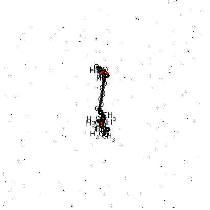 Cc1cc(Nc2ncc(Cl)c(Nc3ccccc3S(=O)(=O)C(C)C)n2)c(OC(C)C)cc1C1CCN(C(=O)CCOCCOCCOCCOCCOCCNc2cccc3c2C(=O)N(C2CCC(=O)NC2=O)C3=O)CC1